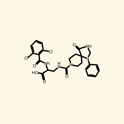 O=C(NC(CNC(=O)N1CCC2(CC1)C(=O)NCN2c1ccccc1)C(=O)O)c1c(Cl)cccc1Cl